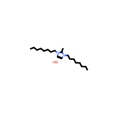 Br.CCCCCCCCN1C=CN(CCCCCCCC)C1C